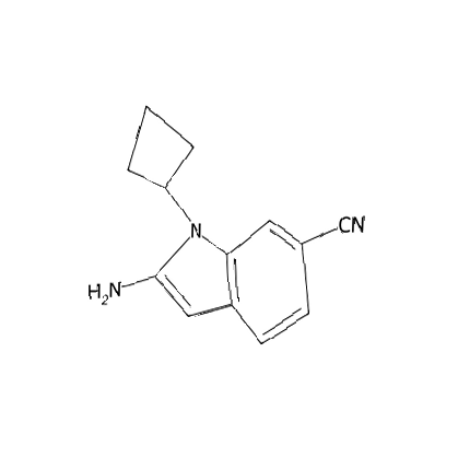 N#Cc1ccc2cc(N)n(C3CCC3)c2c1